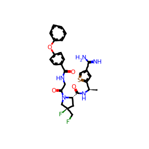 C[C@@H](NC(=O)[C@@H]1C[C@](F)(CF)CN1C(=O)CNC(=O)c1ccc(Oc2ccccc2)cc1)c1cc(C(=N)N)cs1